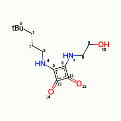 CC(C)(C)CCCNc1c(NCCO)c(=O)c1=O